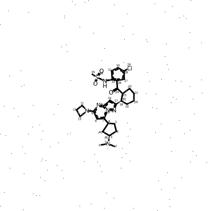 CN(C)[C@@H]1CCC(c2cc(N3CCC3)nc3cc([C@@H]4CCCCC4C(=O)c4cc(Cl)ccc4NS(C)(=O)=O)nn23)C1